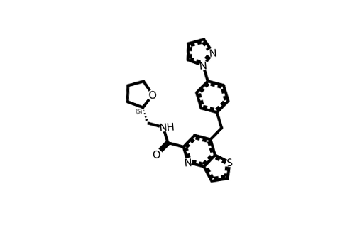 O=C(NC[C@@H]1CCCO1)c1cc(Cc2ccc(-n3cccn3)cc2)c2sccc2n1